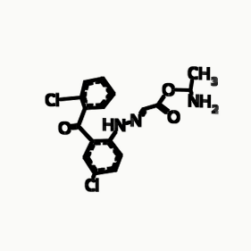 CC(N)OC(=O)C=NNc1ccc(Cl)cc1C(=O)c1ccccc1Cl